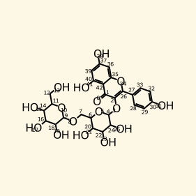 O=c1c(OC2OC(COC3OC(CO)C(O)C(O)C3O)C(O)C(O)C2O)c(-c2ccc(O)cc2)oc2cc(O)cc(O)c12